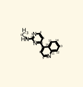 CNc1nccc(-c2ccnc3ccccc23)n1